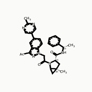 CC(=O)c1nn(CC(=O)N2C3C[C@]3(C)C[C@H]2C(=O)N[C@@H](C)c2ccccc2)c2ccc(-c3cnc(C)nc3)cc12